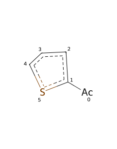 [CH2]C(=O)c1cccs1